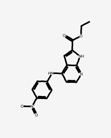 CCOC(=O)c1cc2c(Nc3ccc([N+](=O)[O-])cc3)ccnc2[nH]1